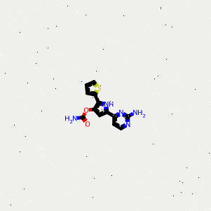 NC(=O)Oc1cc(-c2ccnc(N)n2)[nH]c1-c1cccs1